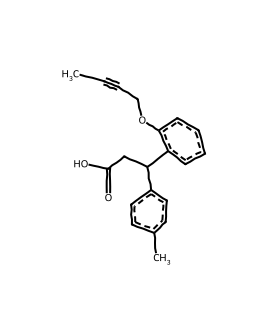 CC#CCOc1ccccc1C(CC(=O)O)c1ccc(C)cc1